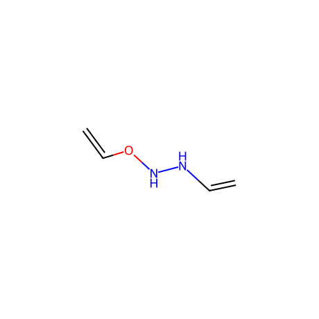 C=CNNOC=C